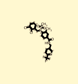 Cc1cc(C(=O)NCc2ccc(C(F)(F)F)nc2)ccc1N(Cc1cccc(Cl)c1Cl)S(C)(=O)=O